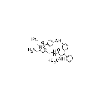 CC(C)CCN(C(CN)CCCCNC(=O)[C@@H](NC(=O)O)C(c1ccccc1)c1ccccc1)S(=O)(=O)c1ccc(N)cc1